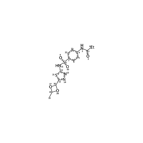 CCC(=O)Nc1ccc(S(=O)(=O)Nc2nnc(C3OC(C)O3)s2)cc1